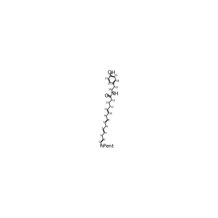 CCCCCC=CCC=CCC=CCC=CCCCC(=O)NCCc1ccc(O)cc1